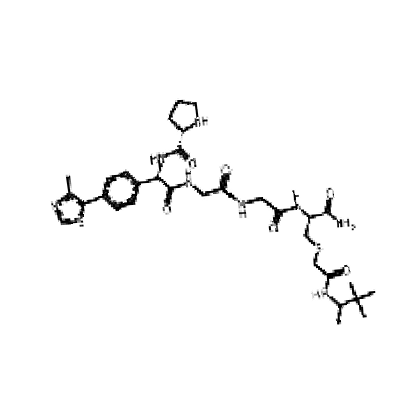 Cc1ncsc1-c1ccc([C@@H](NC(=O)[C@@H]2CCCN2)C(=O)NCC(=O)NCC(=O)N[C@H](CSCC(=O)NC(C)C(C)(C)C)C(N)=O)cc1